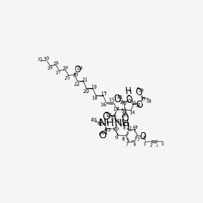 CC#CCOc1ccc(C[C@H](NC(=O)[C@@H](/C=C/CCCCCCC(=O)CCCCCCC)[C@@](O)(CCOC(C)=O)C(=O)O)C(=O)NC)cc1